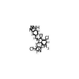 Cn1ncc(Cl)c1CC1c2cccc(Cl)c2C(=O)N1Cc1ccc2[nH]nnc2c1